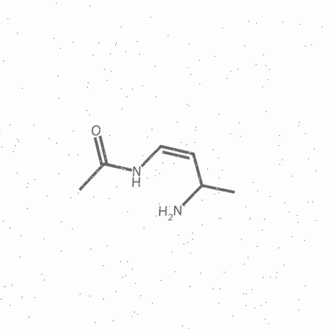 CC(=O)N/C=C\C(C)N